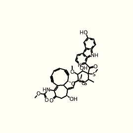 COC(=O)NC1=C2C#C/C=C\C#C[C@H](OC3OC(C)C(SC)(C(=O)c4nccc5c4[nH]c4ccc(O)cc45)C(O)C3OC)C2/C(=C\CS(C)=S)[C@@H](O)CC1=O